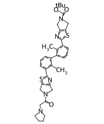 Cc1c(-c2nc3c(s2)CN(C(=O)CN2CCCC2)C3)cccc1-c1cccc(-c2nc3c(s2)CN(C(=O)OC(C)(C)C)C3)c1C